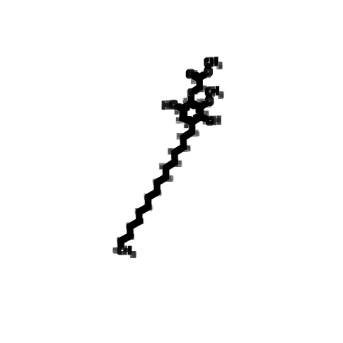 CCCCCCCCCCCCCCCCCc1cc(O)c(SCC(=O)OC)c(OC)c1O